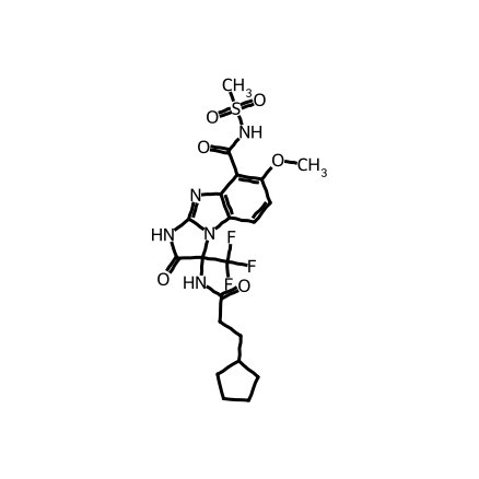 COc1ccc2c(nc3n2C(NC(=O)CCC2CCCC2)(C(F)(F)F)C(=O)N3)c1C(=O)NS(C)(=O)=O